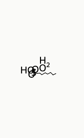 CCCCCCCCS(=O)(=O)O.O